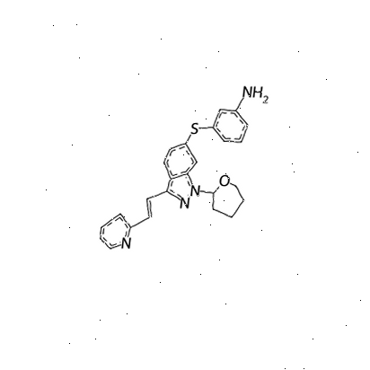 Nc1cccc(Sc2ccc3c(/C=C/c4ccccn4)nn(C4CCCCO4)c3c2)c1